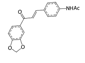 CC(=O)Nc1ccc(C=CC(=O)c2ccc3c(c2)OCO3)cc1